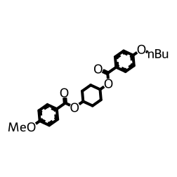 CCCCOc1ccc(C(=O)OC2CCC(OC(=O)c3ccc(OC)cc3)CC2)cc1